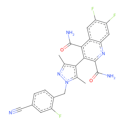 Cc1nn(Cc2ccc(C#N)cc2F)c(C)c1-c1c(C(N)=O)nc2cc(F)c(F)cc2c1C(N)=O